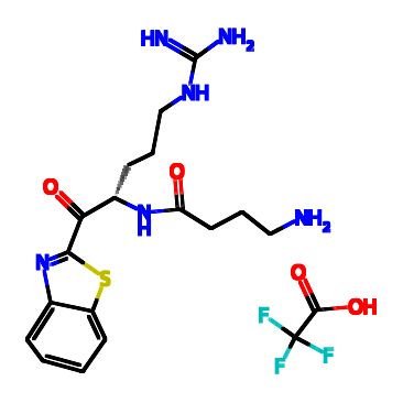 N=C(N)NCCC[C@H](NC(=O)CCCN)C(=O)c1nc2ccccc2s1.O=C(O)C(F)(F)F